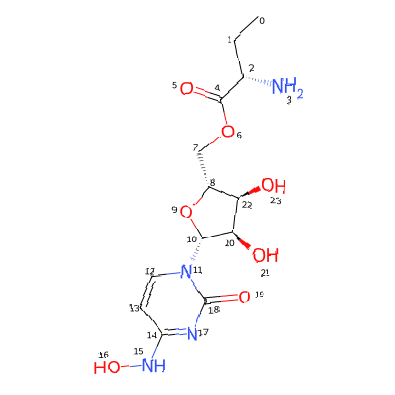 CC[C@H](N)C(=O)OC[C@H]1O[C@@H](n2ccc(NO)nc2=O)[C@H](O)[C@@H]1O